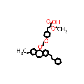 CCOC(Cc1ccc(OCCOC2c3ccc(CC)cc3C=Cc3cc(CCc4ccccc4)ccc32)cc1)C(=O)O